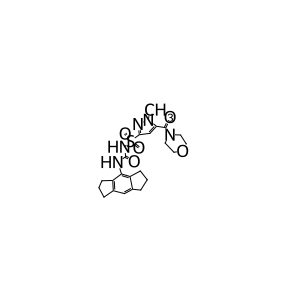 Cn1nc(S(=O)(=O)NC(=O)Nc2c3c(cc4c2CCC4)CCC3)cc1C(=O)N1CCOCC1